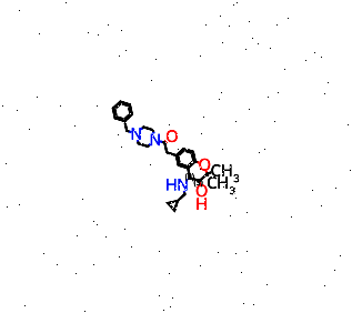 CC1(C)Oc2ccc(CC(=O)N3CCN(Cc4ccccc4)CC3)cc2[C@@H](NCC2CC2)[C@@H]1O